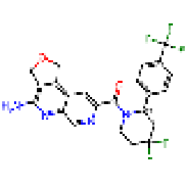 Nc1nc2cnc(C(=O)N3CCC(F)(F)C[C@@H]3c3ccc(C(F)(F)F)cc3)cc2c2c1COC2